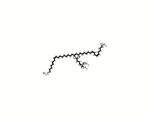 CCCCCC=CC/C=C\CCCCCCCCC(CCCCCCCC/C=C\C/C=C\CCCCC)OC(=O)CCCN(C)C